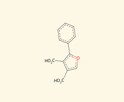 O=C(O)c1coc(-c2ccccc2)c1C(=O)O